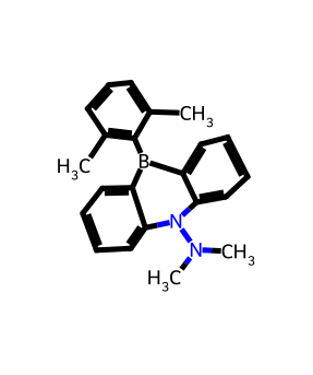 Cc1cccc(C)c1B1c2ccccc2N(N(C)C)c2ccccc21